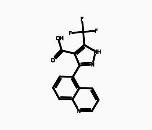 O=C(O)c1c(-c2cccc3ncccc23)n[nH]c1C(F)(F)F